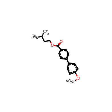 CCCCCCCCOc1ccc(-c2ccc(C(=O)OCCC(CCCC)C(F)(F)F)cc2)cc1